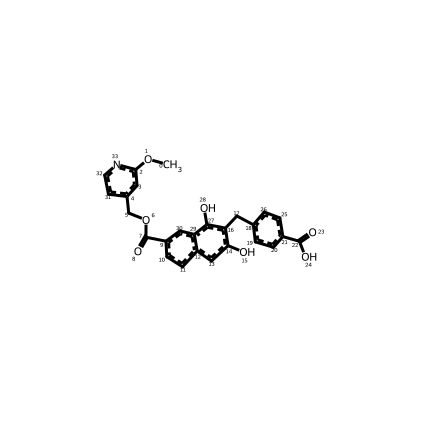 COc1cc(COC(=O)c2ccc3cc(O)c(Cc4ccc(C(=O)O)cc4)c(O)c3c2)ccn1